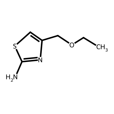 CCOCc1csc(N)n1